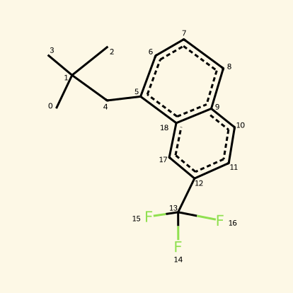 CC(C)(C)Cc1cccc2ccc(C(F)(F)F)cc12